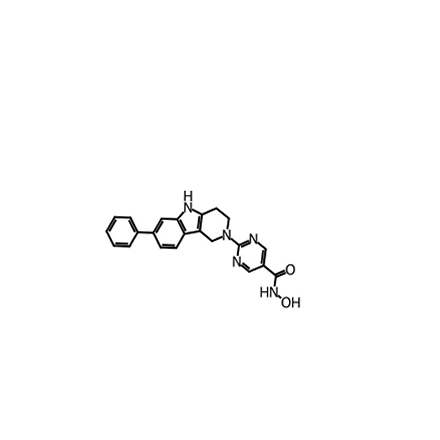 O=C(NO)c1cnc(N2CCc3[nH]c4cc(-c5ccccc5)ccc4c3C2)nc1